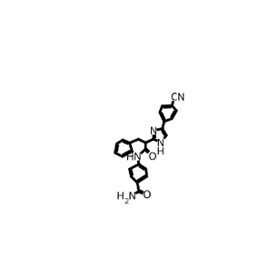 N#Cc1ccc(-c2c[nH]c(C(Cc3ccccc3)C(=O)Nc3ccc(C(N)=O)cc3)n2)cc1